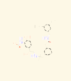 CC(C)(Cc1cccc(CC(=O)NCc2cc(C(F)(F)F)cc(C(F)(F)F)c2)c1)NC[C@H](O)c1ccc(O)c(NS(C)(=O)=O)c1